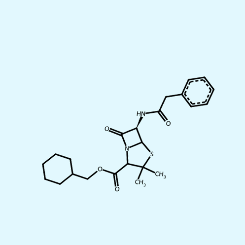 CC1(C)SC2[C@H](NC(=O)Cc3ccccc3)C(=O)N2C1C(=O)OCC1CCCCC1